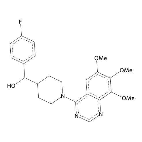 COc1cc2c(N3CCC(C(O)c4ccc(F)cc4)CC3)ncnc2c(OC)c1OC